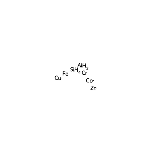 [AlH3].[Co].[Cr].[Cu].[Fe].[SiH4].[Zn]